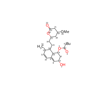 CCC(C)C(=O)OC1CC(O)C=C2C=CC(C)C(CCC3CC(OC)CC(=O)O3)C21